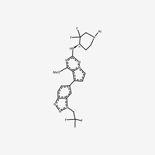 COc1nc(N[C@@H]2CCN(C(C)=O)CC2(F)F)nn2ccc(-c3ccc4nnn(CC(C)(F)F)c4c3)c12